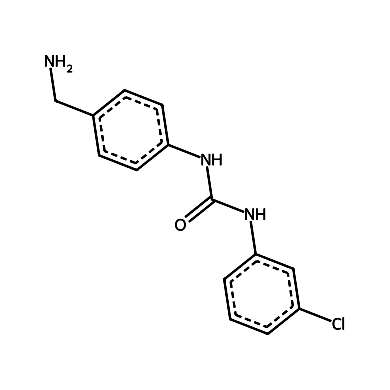 NCc1ccc(NC(=O)Nc2cccc(Cl)c2)cc1